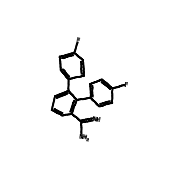 N=C(N)c1cccc(-c2ccc(F)cc2)c1-c1ccc(F)cc1